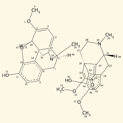 COC1=CC=C2[C@H]3Cc4ccc(O)c5c4[C@@]2(CCN3C)[C@H]1O5.COC1=C[C@]23CCN(C)[C@H](Cc4ccc(OC)c(O)c42)C3=CC1=O